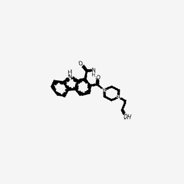 NC(=O)c1c(C(=O)N2CCN(CCO)CC2)ccc2c1[nH]c1ccccc12